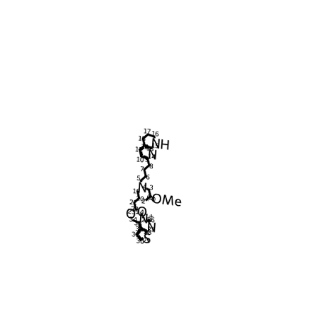 CO[C@H](C)CN(CCCCc1ccc2c(n1)NCCC2)CCCC(=O)O[n+]1cnc2sccc2c1C